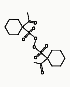 CC(=O)C1(S(=O)(=O)OOS(=O)(=O)C2(C(C)=O)CCCCC2)CCCCC1